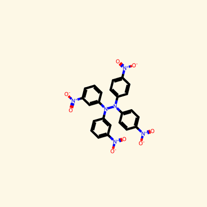 O=[N+]([O-])c1ccc(N(c2ccc([N+](=O)[O-])cc2)N(c2cccc([N+](=O)[O-])c2)c2cccc([N+](=O)[O-])c2)cc1